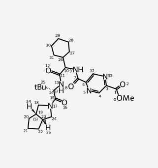 COC(=O)c1cnc(C(=O)NC(C(=O)N[C@H](C(=O)N2C[C@H]3CCC[C@H]3C2)C(C)(C)C)C2CCCCC2)cn1